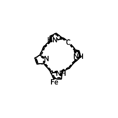 C1=Cc2nc1cc1ccc(cc3ccc(cc4ccc2[nH]4)[nH]3)[nH]1.[Fe]